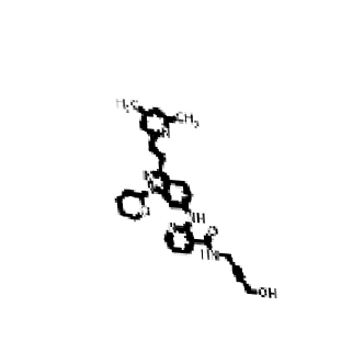 Cc1cc(C)nc(C=Cc2nn(C3CCCCO3)c3cc(Nc4ncccc4C(=O)NCC#CCO)ccc23)c1